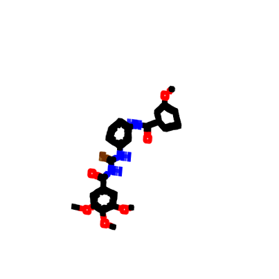 COC1=CC=CC(C(=O)Nc2cccc(NC(=S)NC(=O)c3cc(OC)c(OC)c(OC)c3)c2)C1